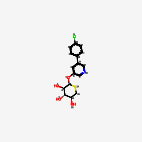 O[C@@H]1[C@@H](O)[C@@H](Oc2cncc(-c3ccc(Cl)cc3)c2)SC[C@H]1O